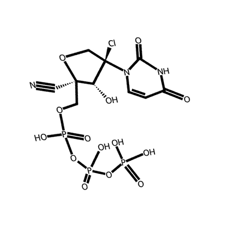 N#C[C@]1(COP(=O)(O)OP(=O)(O)OP(=O)(O)O)OC[C@](Cl)(n2ccc(=O)[nH]c2=O)[C@@H]1O